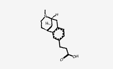 CN1CC[C@]23CCCC[C@@H]2[C@H]1Cc1ccc(CCC(=O)O)cc13